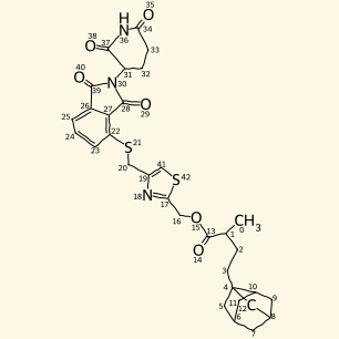 CC(CCC12CC3CC(CC1C3)C2)C(=O)OCc1nc(CSc2cccc3c2C(=O)N(C2CCC(=O)NC2=O)C3=O)cs1